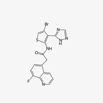 O=C(Cc1ccc(F)c2ncccc12)Nc1scc(Br)c1-c1ncn[nH]1